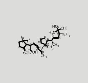 C=C1CC[C@@H]2C[C@]12[C@@H](/C=C(\CCC)[C@@H]1CC[C@H]([C@H](C)/C=C/[C@H](C)C(C)(C)O)C1(C)C)CO